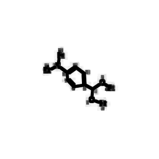 CCOC(OCC)c1ccc(N(CC)CC)cc1